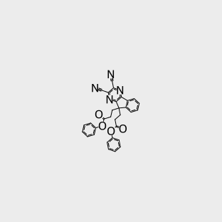 N#Cc1nc2c(nc1C#N)C(CCC(=O)Oc1ccccc1)(CCC(=O)Oc1ccccc1)c1ccccc1-2